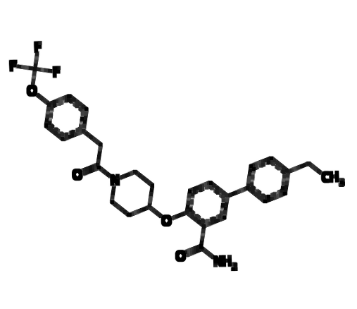 CCc1ccc(-c2ccc(OC3CCN(C(=O)Cc4ccc(OC(F)(F)F)cc4)CC3)c(C(N)=O)c2)cc1